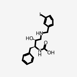 O=C(O)N[C@@H](Cc1ccccc1)[C@H](O)CNCc1cccc(I)c1